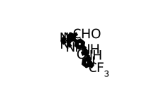 Nc1ncnn2cc(C=O)c(-c3ccc(NC(=O)Nc4cccc(C(F)(F)F)n4)cc3)c12